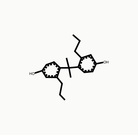 CCCc1cc(O)ccc1C(C)(C)c1ccc(O)cc1CCC